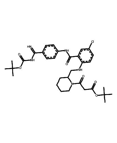 CC(C)(C)OC(=O)CC(=O)N1CCCCC1CNc1ccc(Cl)cc1C(=O)Nc1ccc(C(=N)NC(=O)OC(C)(C)C)cc1